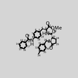 COC(=O)[C@H](Cc1ccc(NC(=O)c2ccccc2)cc1)NC(=O)[C@@H]1CCC(=O)N1Cc1ccc(C)cc1